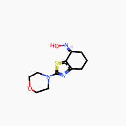 O/N=C1/CCCc2nc(N3CCOCC3)sc21